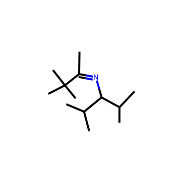 C/C(=N/C(C(C)C)C(C)C)C(C)(C)C